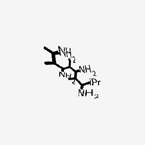 CC(C)C(N)C(C)C(N)C(C)C(N)C(C)C(C)N